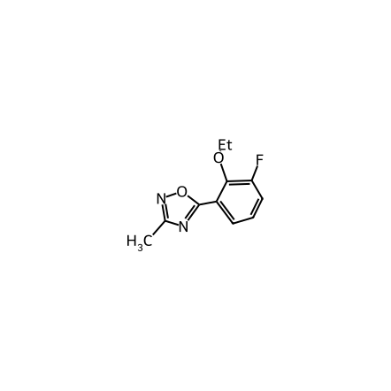 CCOc1c(F)cccc1-c1nc(C)no1